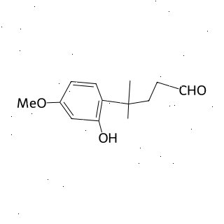 COc1ccc(C(C)(C)CCC=O)c(O)c1